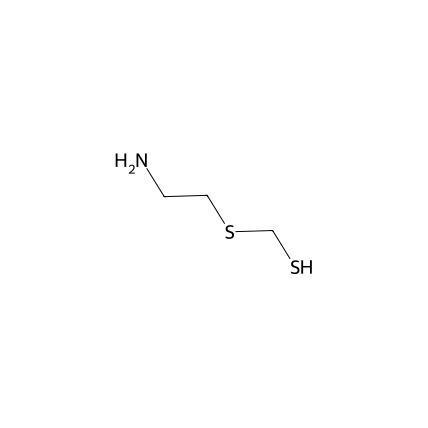 NCCSCS